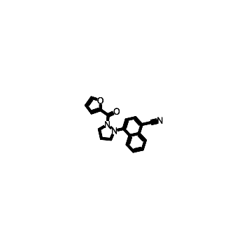 N#Cc1ccc(N2CCCN2C(=O)c2ccco2)c2ccccc12